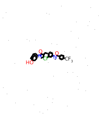 CN(C(=O)c1ccc(C(F)(F)F)cc1)c1ccc(CC2CCN(C3C4CC5CC3CC(O)(C5)C4)C2=O)c(Cl)c1